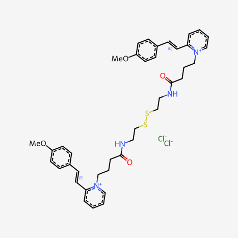 COc1ccc(/C=C/c2cccc[n+]2CCCC(=O)NCCSSCCNC(=O)CCC[n+]2ccccc2/C=C/c2ccc(OC)cc2)cc1.[Cl-].[Cl-]